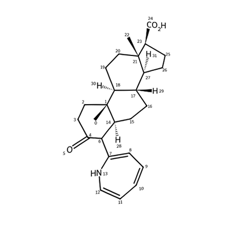 C[C@]12CCC(=O)C(C3=CC=CC=CN3)[C@@H]1CC[C@@H]1[C@@H]2CC[C@]2(C)[C@@H](C(=O)O)CC[C@@H]12